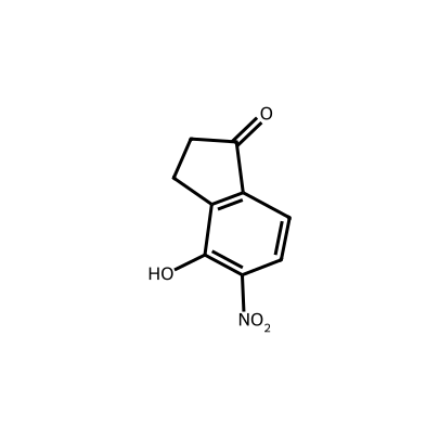 O=C1CCc2c1ccc([N+](=O)[O-])c2O